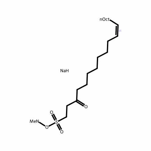 CCCCCCCC/C=C\CCCCCCCC(=O)CCS(=O)(=O)ONC.[NaH]